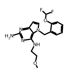 COCCNc1nc(N)nc2ccn(Cc3ccccc3OC(F)F)c12